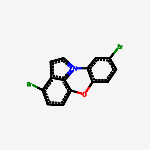 Brc1ccc2c(c1)-n1ccc3c(Br)ccc(c31)O2